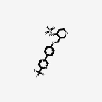 CS(=O)(=O)NC1CCOCC1COc1ccc(-c2ccc(C(F)(F)F)nc2)cc1